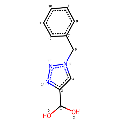 OC(O)c1cn(Cc2ccccc2)nn1